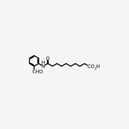 O=Cc1ccccc1NC(=O)CCCCCCCCC(=O)O